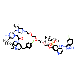 CC1CN(CCOCCOCCOCCOc2cc3nccc(Nc4n[nH]c5ccc(F)cc45)c3cc2S(=O)(=O)C(C)(C)C)CCN1C[C@H]1CN[C@H](C)CN1CC(=O)N1CC(C)(C)c2ncc(Cc3ccc(F)cc3)cc21